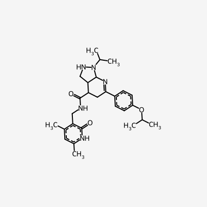 Cc1cc(C)c(CNC(=O)C2CC(c3ccc(OC(C)C)cc3)=NC3C2CNN3C(C)C)c(=O)[nH]1